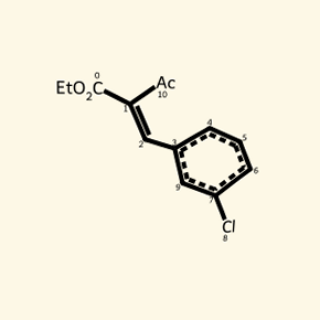 CCOC(=O)C(=Cc1cccc(Cl)c1)C(C)=O